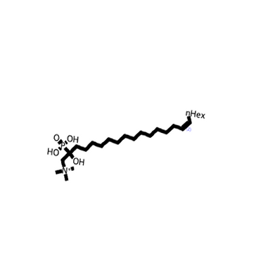 CCCCCC/C=C\CCCCCCCCCCCCCC(O)(C[N+](C)(C)C)P(=O)(O)O